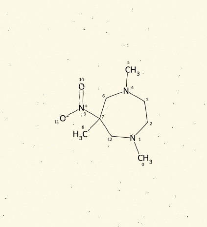 CN1CCN(C)CC(C)([N+](=O)[O-])C1